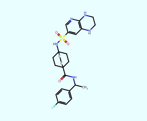 CC(NC(=O)C12CCC(NS(=O)(=O)c3cnc4c(c3)NCCN4)(CC1)CC2)c1ccc(F)cc1